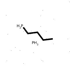 CCCCP.P